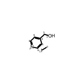 CI.OCc1ccncc1